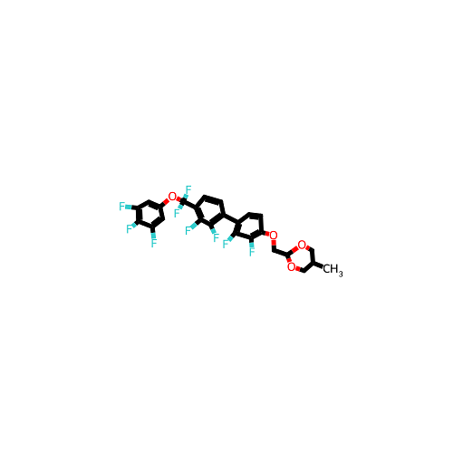 CC1COC(COc2ccc(-c3ccc(C(F)(F)Oc4cc(F)c(F)c(F)c4)c(F)c3F)c(F)c2F)OC1